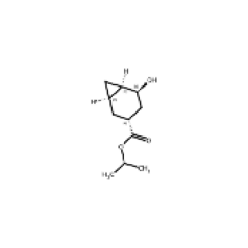 CC(C)OC(=O)[C@@H]1C[C@H]2C[C@H]2[C@@H](O)C1